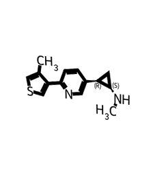 CN[C@H]1C[C@@H]1c1ccc(-c2cscc2C)nc1